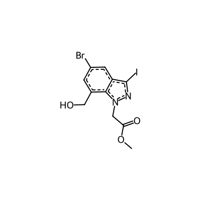 COC(=O)Cn1nc(I)c2cc(Br)cc(CO)c21